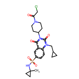 CC1(NS(=O)(=O)c2ccc3c(c2)c(=O)n(C2CCN(C(=O)CCl)CC2)c(=O)n3CC2CC2)CC1